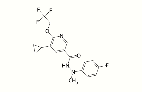 CN(NC(=O)c1cnc(OCC(F)(F)F)c(C2CC2)c1)c1ccc(F)cc1